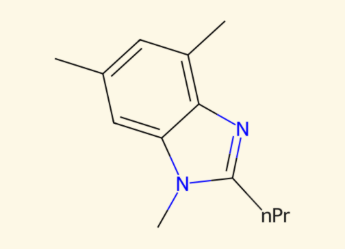 CCCc1nc2c(C)cc(C)cc2n1C